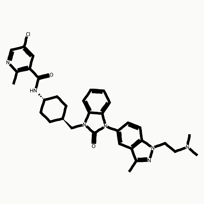 Cc1ncc(Cl)cc1C(=O)N[C@H]1CC[C@H](Cn2c(=O)n(-c3ccc4c(c3)c(C)nn4CCN(C)C)c3ccccc32)CC1